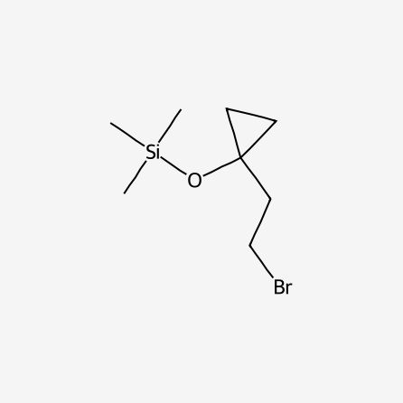 C[Si](C)(C)OC1(CCBr)CC1